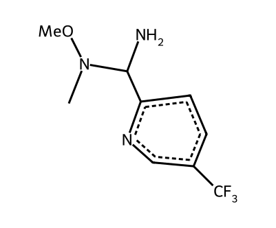 CON(C)C(N)c1ccc(C(F)(F)F)cn1